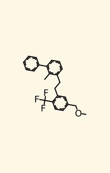 COCc1ccc(C(F)(F)F)c(CCc2cccc(-c3ccccc3)c2C)c1